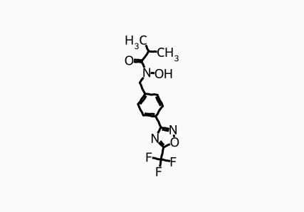 CC(C)C(=O)N(O)Cc1ccc(-c2noc(C(F)(F)F)n2)cc1